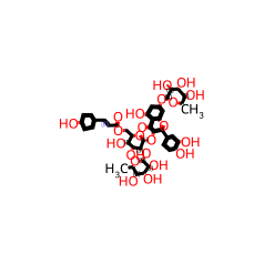 CC1O[C@@H](Oc2cc(O)c3c(=O)c(O[C@@H]4OC(COC(=O)/C=C/c5ccc(O)cc5)[C@@H](O)C(O)[C@@H]4O[C@@H]4OC(C)[C@H](O)C(O)[C@@H]4O)c(-c4ccc(O)c(O)c4)oc3c2)[C@@H](O)C(O)[C@H]1O